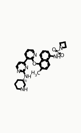 Cc1ccc2c(NS(=O)(=O)N3CCC3)cccc2c1Oc1ncccc1-c1ccnc(N[C@H]2CCCNC2)n1